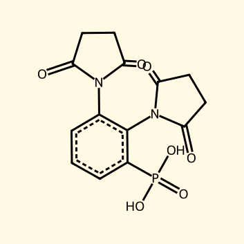 O=C1CCC(=O)N1c1cccc(P(=O)(O)O)c1N1C(=O)CCC1=O